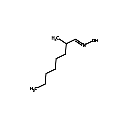 CCCCCCC(C)/C=N/O